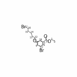 CCOC(=O)c1cc(Br)cc(OCCCCCBr)c1